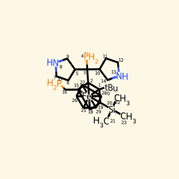 CC(C)(C)[C]12[C]3(C(P)(C4CCNC4)C4CCNC4)[C]4(CP)[CH]5[C]1([Si](C)(C)C)[Fe]54321678[CH]2[CH]1[CH]6[CH]7[CH]28